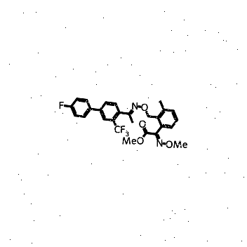 CO/N=C(/C(=O)OC)c1cccc(C)c1CO/N=C(\C)c1ccc(-c2ccc(F)cc2)cc1C(F)(F)F